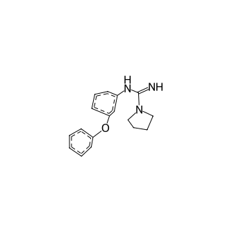 N=C(Nc1cccc(Oc2ccccc2)c1)N1CCCC1